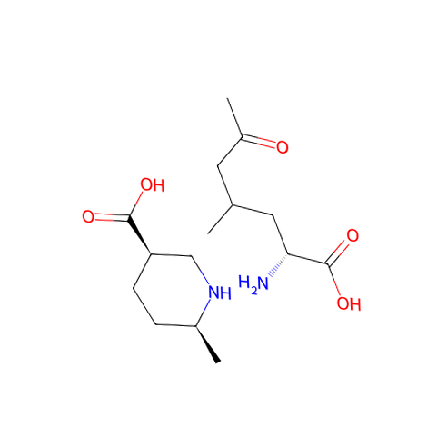 CC(=O)CC(C)C[C@@H](N)C(=O)O.C[C@H]1CC[C@@H](C(=O)O)CN1